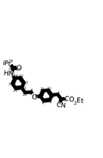 CCOC(=O)C(C#N)Cc1ccc(OCCc2ccc(NC(=O)C(C)C)cc2)cc1